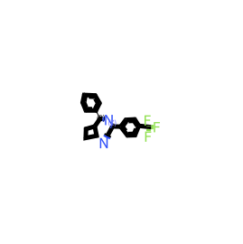 N#C/C(=N\[C@@H](c1ccccc1)C1CCC1)c1ccc(C(F)(F)F)cc1